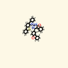 c1ccc2c(c1)oc1ccc(-c3nc(-n4c5ccccc5c5ccc6c7ccccc7sc6c54)nc4oc5ccccc5c34)cc12